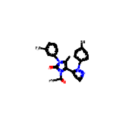 CCCC(=O)n1c(-c2ccnn2-c2ccc(C#N)cc2)c(C)n(-c2cccc(C(F)(F)F)c2)c1=O